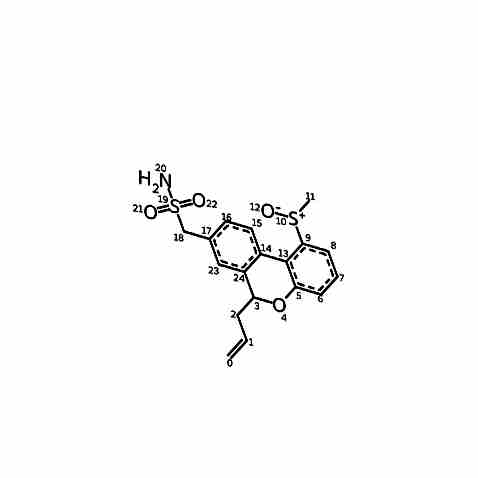 C=CCC1Oc2cccc([S+](C)[O-])c2-c2ccc(CS(N)(=O)=O)cc21